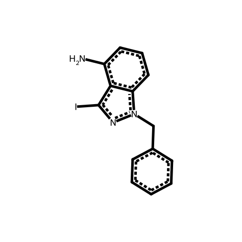 Nc1cccc2c1c(I)nn2Cc1ccccc1